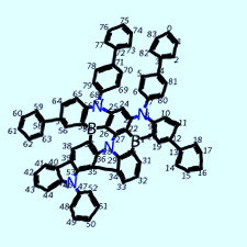 c1ccc(-c2ccc(N3c4ccc(-c5ccccc5)cc4B4c5c3cc3c6c5-n5c7c4cccc7c4c5c(cc5c7ccccc7n(-c7ccccc7)c54)B6c4cc(-c5ccccc5)ccc4N3c3ccc(-c4ccccc4)cc3)cc2)cc1